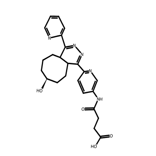 O=C(O)CCC(=O)Nc1ccc(C2=NN=C(c3ccccn3)C3CCC[C@H](O)CCC23)nc1